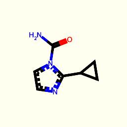 NC(=O)n1ccnc1C1CC1